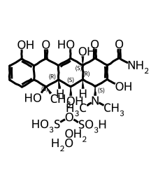 CN(C)[C@@H]1C(O)=C(C(N)=O)C(=O)[C@@]2(O)C(O)=C3C(=O)c4c(O)cccc4[C@@](C)(O)[C@H]3[C@H](O)[C@@H]12.O.O.O=S(=O)(O)OS(=O)(=O)O